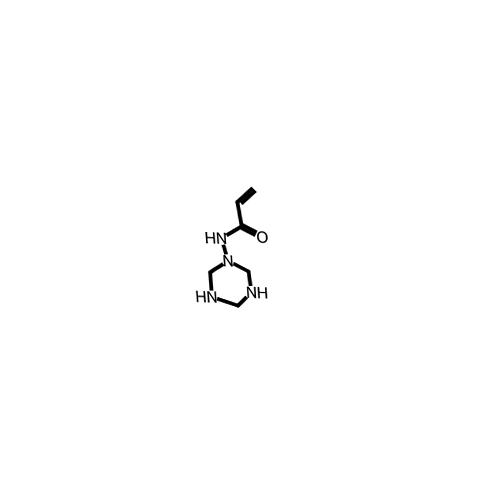 C=CC(=O)NN1CNCNC1